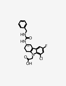 O=C(O)Cn1c2c(c3cc(F)cc(Cl)c31)C[C@@H](NC(=O)NCc1ccccc1)CC2